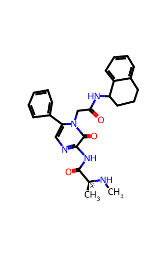 CN[C@@H](C)C(=O)Nc1ncc(-c2ccccc2)n(CC(=O)NC2CCCc3ccccc32)c1=O